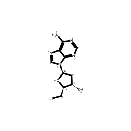 Nc1ncnc2c1ncn2[C@H]1C[C@H](O)[C@@H](CI)O1